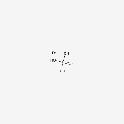 [Fe].[O]=[Ir]([OH])([OH])[OH]